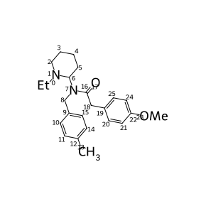 CCN1CCCCC1N(Cc1ccc(C)cc1)C(=O)Cc1ccc(OC)cc1